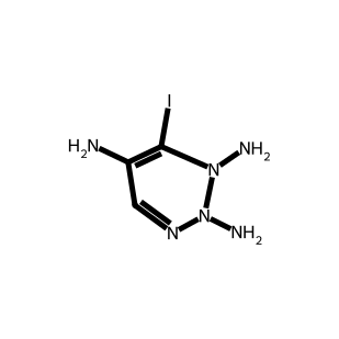 NC1=C(I)N(N)N(N)N=C1